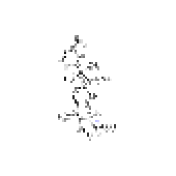 CN[C@H](C(=O)N[C@H](C(=O)N(C)C(/C=C(\C)C(=O)O)C(C)C)C(C)(C)C)C(C)(C)c1cccc(N)c1